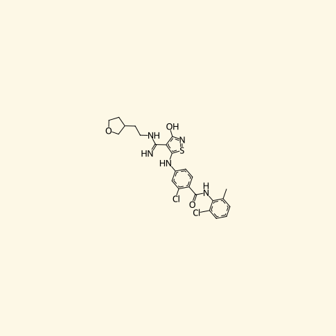 Cc1cccc(Cl)c1NC(=O)c1ccc(Nc2snc(O)c2C(=N)NCCC2CCOC2)cc1Cl